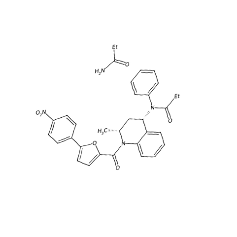 CCC(=O)N(c1ccccc1)[C@H]1C[C@@H](C)N(C(=O)c2ccc(-c3ccc([N+](=O)[O-])cc3)o2)c2ccccc21.CCC(N)=O